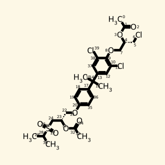 CC(=O)O[C@H](CCl)COc1c(Cl)cc(C(C)(C)c2ccc(OC[C@@H](CS(=O)(=O)C(C)C)OC(C)=O)cc2)cc1Cl